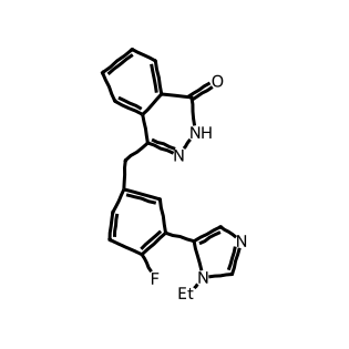 CCn1cncc1-c1cc(Cc2n[nH]c(=O)c3ccccc23)ccc1F